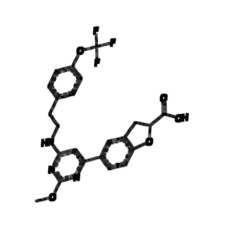 COc1nc(NCCc2ccc(OC(F)(F)F)cc2)cc(-c2ccc3c(c2)CC(C(=O)O)O3)n1